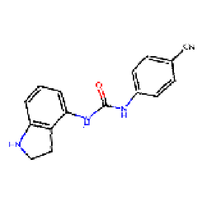 N#Cc1ccc(NC(=O)Nc2cccc3c2CCN3)cc1